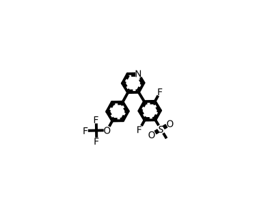 CS(=O)(=O)c1cc(F)c(-c2cnccc2-c2ccc(OC(F)(F)F)cc2)cc1F